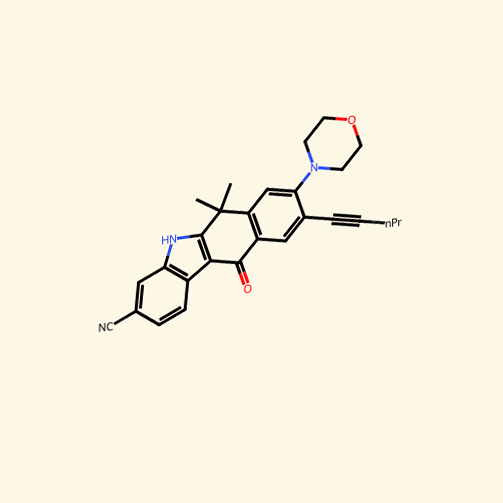 CCCC#Cc1cc2c(cc1N1CCOCC1)C(C)(C)c1[nH]c3cc(C#N)ccc3c1C2=O